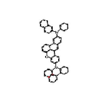 c1ccc(-c2ccccc2N(c2ccccc2)c2ccc3c(c2)Oc2cccc4c2c-3cc2ccc(N(c3ccccc3)c3ccc5ccccc5c3)cc24)cc1